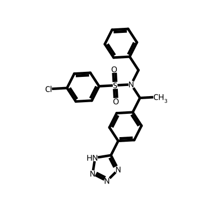 CC(c1ccc(-c2nnn[nH]2)cc1)N(Cc1ccccc1)S(=O)(=O)c1ccc(Cl)cc1